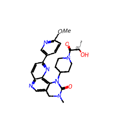 COc1ccc(-c2ccc3ncc4c(c3n2)N(C2CCN(C(=O)[C@H](C)O)CC2)C(=O)N(C)C4)cn1